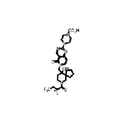 C[C@H](CC(F)(F)F)C(=O)N1CCC(O)(Cn2ccc3nc(N4CCN(C(=O)O)CC4)ncc3c2=O)C2(CCCC2)C1